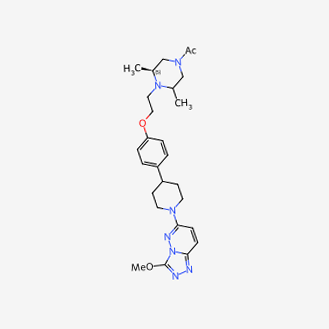 COc1nnc2ccc(N3CCC(c4ccc(OCCN5C(C)CN(C(C)=O)C[C@@H]5C)cc4)CC3)nn12